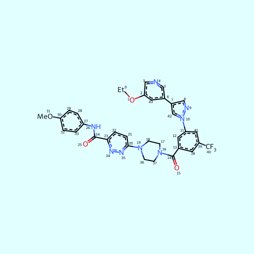 CCOc1cncc(-c2cnn(-c3cc(C(=O)N4CCN(c5ccc(C(=O)Nc6ccc(OC)cc6)nn5)CC4)cc(C(F)(F)F)c3)c2)c1